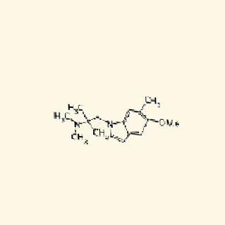 COc1cc2ccn(CC(C)(C)N(C)C)c2cc1C